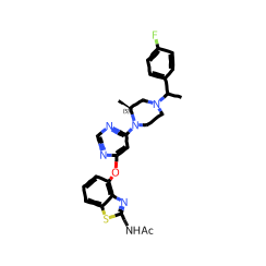 CC(=O)Nc1nc2c(Oc3cc(N4CCN(C(C)c5ccc(F)cc5)C[C@@H]4C)ncn3)cccc2s1